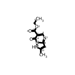 CCOC(=O)c1cnc2cc(C)[nH]n2c1=O